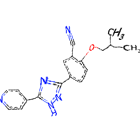 CC(C)COc1ccc(-c2n[nH]c(-c3ccncc3)n2)cc1C#N